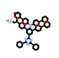 C=C/C=C(\C=C)c1ccc(-c2cc(-c3nc(-c4ccccc4)nc(-c4ccccc4)n3)cc(-c3ccc(-c4ccccc4)cc3)c2N(c2ccc(-c3ccccc3)cc2)c2ccc(-c3ccccc3)cc2)cc1